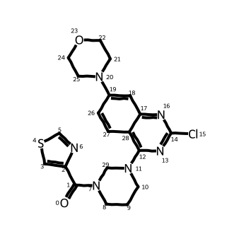 O=C(c1cscn1)N1CCCN(c2nc(Cl)nc3cc(N4CCOCC4)ccc23)C1